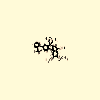 CCC1(CC)c2cc(-c3ccccc3C(F)(F)F)ccc2-c2c1cc(O)c1cc(OC)c(OC)cc21